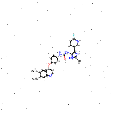 COc1cc2nccc(Oc3ccc(NC(=O)Nc4[nH]c(C(C)(C)C)nc4-c4ccc(F)nc4)cc3)c2cc1OC